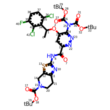 CC(Oc1cc(C(=O)Nc2nc3c(s2)CN(C(=O)OC(C)(C)C)CC3)nnc1N(C(=O)OC(C)(C)C)C(=O)OC(C)(C)C)c1c(Cl)ccc(F)c1Cl